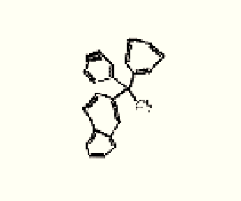 CC(c1ccccc1)(c1ccccc1)c1ccc2ccccc2c1